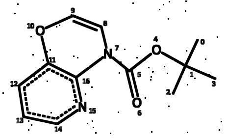 CC(C)(C)OC(=O)N1C=COc2cccnc21